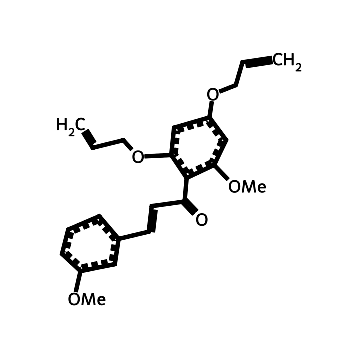 C=CCOc1cc(OC)c(C(=O)/C=C/c2cccc(OC)c2)c(OCC=C)c1